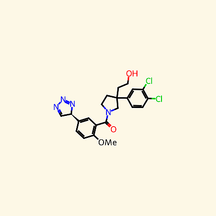 COc1ccc([C@H]2C=NN=N2)cc1C(=O)N1CCC(CCO)(c2ccc(Cl)c(Cl)c2)C1